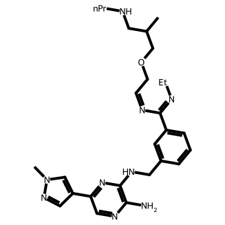 CCCNCC(C)COC/C=N\C(=N/CC)c1cccc(CNc2nc(-c3cnn(C)c3)cnc2N)c1